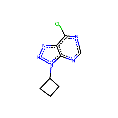 Clc1ncnc2c1nnn2C1CCC1